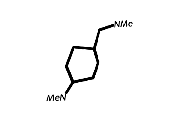 CNCC1CCC(NC)CC1